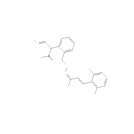 CON=CC(C(N)=O)c1ccccc1CON=C(C)C=Cc1c(Cl)cccc1Cl